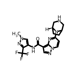 Cn1cc(NC(=O)c2cnn3ccc(N4C5CC[C@@H]4CNC5)nc23)c(C(F)(F)F)n1